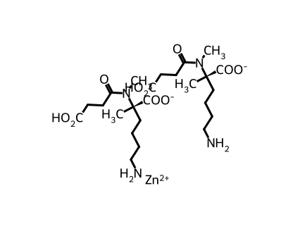 CN(C(=O)CCC(=O)O)[C@@](C)(CCCCN)C(=O)[O-].CN(C(=O)CCC(=O)O)[C@@](C)(CCCCN)C(=O)[O-].[Zn+2]